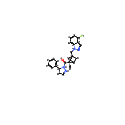 O=C([C@H]1CC2(Cn3ncc4c(F)cccc43)CC1C2)N1N=CCC1c1ccccc1